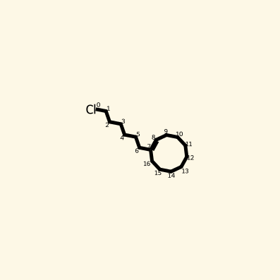 ClCCCCCCC1=CCCCCCCCC1